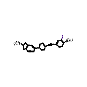 CCCC1=Cc2ccc(-c3ccc(C#Cc4ccc(C(C)CC)c(I)c4)cc3)cc2C1